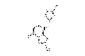 CCc1cc2n(Cc3cnc(Cl)s3)ccc(=O)n2n1